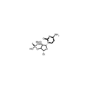 CC[C@H]1O[C@@H](n2ccc(N)nc2=O)[C@@H](OC)C1OP(O)(=S)OC